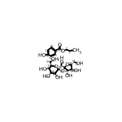 CCCOC(=O)c1ccc(O)cc1.OC[C@H]1O[C@@](CO)(O[C@H]2O[C@H](CO)[C@@H](O)[C@H](O)[C@H]2O)[C@@H](O)[C@@H]1O